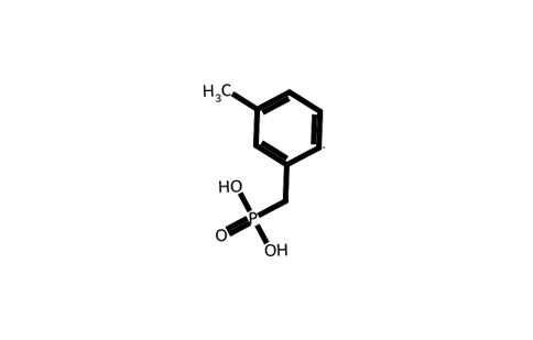 Cc1cc[c]c(CP(=O)(O)O)c1